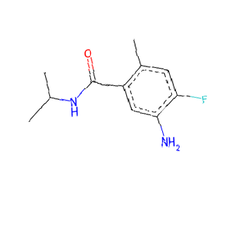 Cc1cc(F)c(N)cc1C(=O)NC(C)C